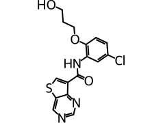 O=C(Nc1cc(Cl)ccc1OCCCO)c1csc2cncnc12